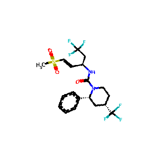 CS(=O)(=O)/C=C/[C@@H](CC(F)(F)F)NC(=O)N1CC[C@H](C(F)(F)F)C[C@@H]1c1ccccc1